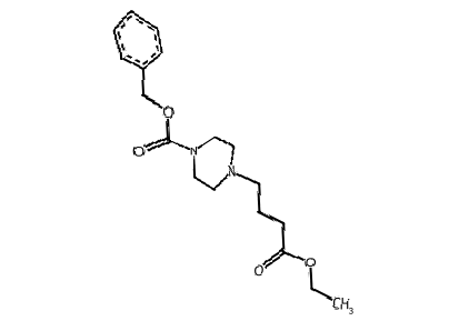 CCOC(=O)CCCN1CCN(C(=O)OCc2ccccc2)CC1